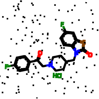 Cl.O=C(CN1CCC(Cn2c(=O)sc3cc(F)ccc32)CC1)c1ccc(F)cc1